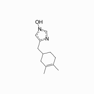 CC1=C(C)CC(Cc2cn(O)cn2)CC1